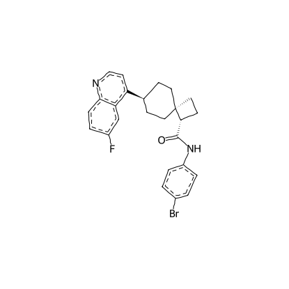 O=C(Nc1ccc(Br)cc1)[C@H]1CC[C@]12CC[C@H](c1ccnc3ccc(F)cc31)CC2